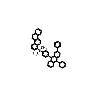 C[Si](C)(c1ccc(-c2c3ccccc3c(-c3ccccc3)c3ccc(-c4ccccc4)cc23)cc1)c1cccc2c1ccc1c3ccccc3ccc21